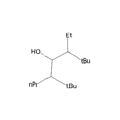 C[CH]CC(C(O)C(CC)C(C)(C)C)C(C)(C)C